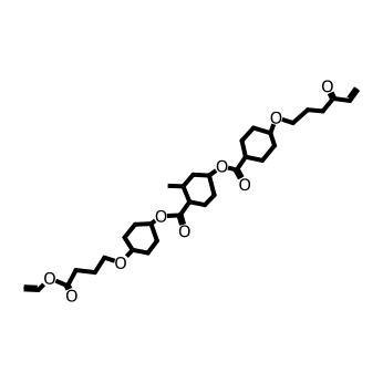 C=COC(=O)CCCOC1CCC(OC(=O)C2CCC(OC(=O)C3CCC(OCCCC(=O)C=C)CC3)CC2C)CC1